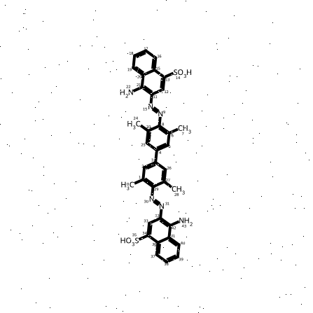 Cc1cc(-c2cc(C)c(/N=N/c3cc(S(=O)(=O)O)c4ccccc4c3N)c(C)c2)cc(C)c1/N=N/c1cc(S(=O)(=O)O)c2ccccc2c1N